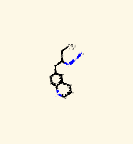 [N-]=[N+]=NC(CC(=O)O)Cc1ccc2ncccc2c1